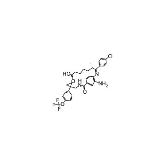 C[C@@H](CCCCC(=O)O)/C(=N\c1ccc(C(=O)NCC2(c3ccc(OC(F)(F)F)cc3)CC2)cc1N)c1ccc(Cl)cc1